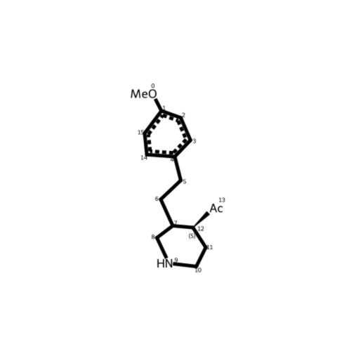 COc1ccc(CCC2CNCC[C@@H]2C(C)=O)cc1